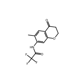 Cc1cc2c(cc1NC(=O)C(F)(F)F)OCCC2=O